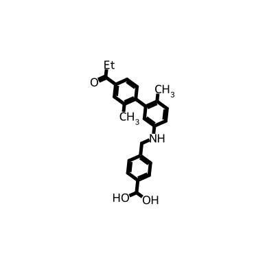 CCC(=O)c1ccc(-c2cc(NCc3ccc(C(O)O)cc3)ccc2C)c(C)c1